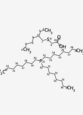 CCCCC(CC)CSCC(=O)O.CCCCCCCCP(CCCCCCCC)CCCCCCCC